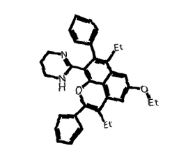 CCOc1cc2c3c(c(C4=NCCCN4)c(-c4ccccc4)c(CC)c3c1)OC(c1ccccc1)=C2CC